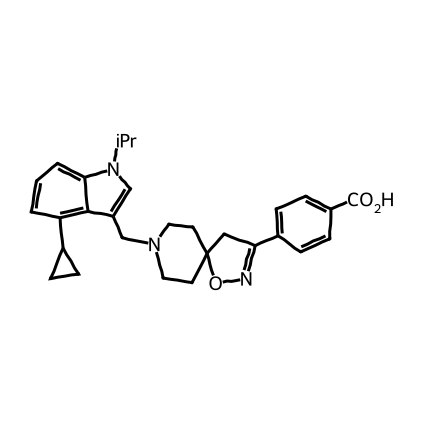 CC(C)n1cc(CN2CCC3(CC2)CC(c2ccc(C(=O)O)cc2)=NO3)c2c(C3CC3)cccc21